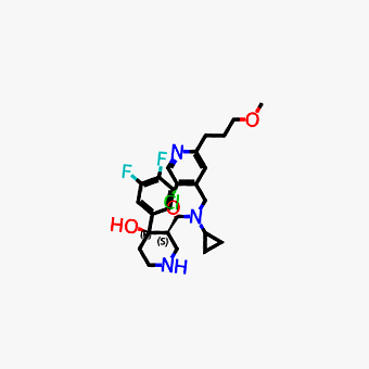 COCCCc1cc(CN(C(=O)[C@H]2CNCC[C@]2(O)c2ccc(F)c(F)c2)C2CC2)c(Cl)cn1